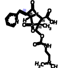 CN(C)CCNC(=O)OC[C@@]1(C)[C@H](C(=O)O)N2C(=O)/C(=C/c3ccccn3)[C@H]2S1(=O)=O